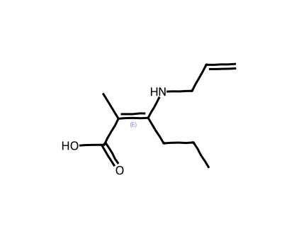 C=CCN/C(CCC)=C(\C)C(=O)O